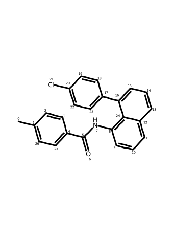 Cc1ccc(C(=O)Nc2cccc3cccc(-c4ccc(Cl)cc4)c23)cc1